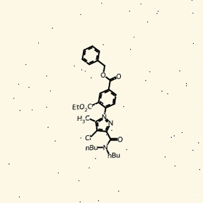 CCCCN(CCCC)C(=O)c1nn(-c2ccc(C(=O)OCc3ccccc3)cc2C(=O)OCC)c(C)c1Cl